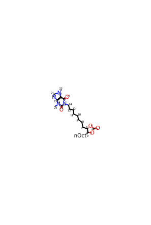 CCCCCCCCC1OC(=O)OC1CCCCCCCCn1c(=O)c2c(ncn2C)n(C)c1=O